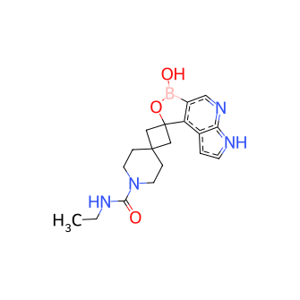 CCNC(=O)N1CCC2(CC1)CC1(C2)OB(O)c2cnc3[nH]ccc3c21